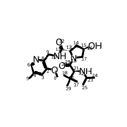 COc1cc(C)cnc1CNC(=O)[C@@H]1C[C@@H](O)CN1C(=O)[C@@H](NC(C)C)C(C)(C)C